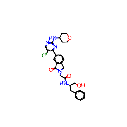 O=C(CN1Cc2ccc(-c3nc(NC4CCOCC4)ncc3Cl)cc2C1=O)NC(CO)Cc1ccccc1